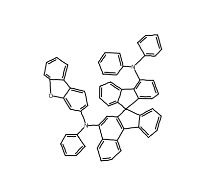 c1ccc(N(c2ccccc2)c2cccc3c2-c2ccccc2C32c3ccccc3-c3c2cc(N(c2ccccc2)c2ccc4c(c2)oc2ccccc24)c2ccccc32)cc1